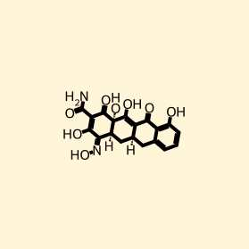 NC(=O)C1=C(O)/C(=N\O)[C@@H]2C[C@@H]3Cc4cccc(O)c4C(=O)C3=C(O)[C@]2(O)C1=O